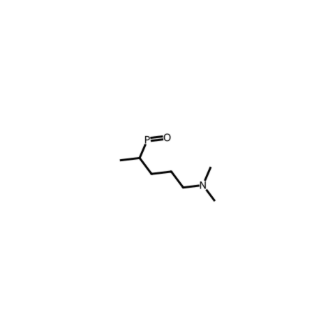 CC(CCCN(C)C)P=O